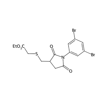 CCOC(=O)CSCC1CC(=O)N(c2cc(Br)cc(Br)c2)C1=O